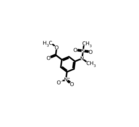 COC(=O)c1cc(N(C)S(C)(=O)=O)cc([N+](=O)[O-])c1